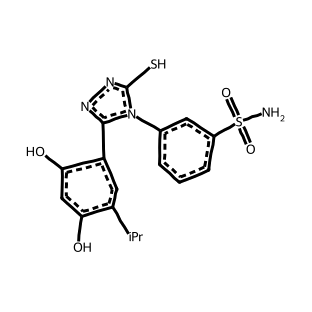 CC(C)c1cc(-c2nnc(S)n2-c2cccc(S(N)(=O)=O)c2)c(O)cc1O